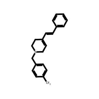 FC(F)(F)c1ccc(CN2CC=C(C=Cc3ccccc3)CC2)cc1